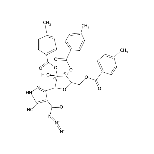 Cc1ccc(C(=O)OCC2OC(c3n[nH]c(C#N)c3C(=O)N=[N+]=[N-])[C@](C)(OC(=O)c3ccc(C)cc3)[C@@H]2OC(=O)c2ccc(C)cc2)cc1